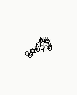 Cc1c([C@@H](O)CNCc2cnn(-c3cc(N4CCOC4=O)ccn3)c2)ccc2c1COC2=O